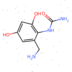 NCc1cc(O)cc(O)c1NC(N)=O